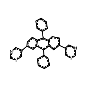 c1ccc(-c2c3ccc(-c4cncnc4)cc3c(-c3ccccc3)c3cc(-c4cncnc4)ccc23)cc1